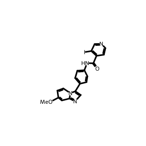 COc1ccn2c(-c3ccc(NC(=O)c4ccncc4I)cc3)cnc2c1